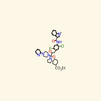 CCOC(=O)[C@H]1CC[C@H](OC(C(=O)Cc2cc(Cl)c(NC(=O)c3cn(C)c4ccccc34)cc2F)(N2CCCC2)N2CCN(c3ccccn3)CC2)CC1